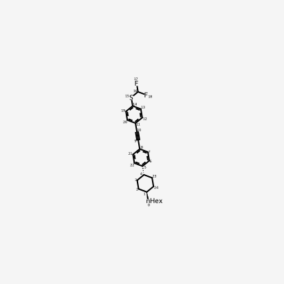 CCCCCC[C@H]1CC[C@H](c2ccc(C#Cc3ccc(SC(F)F)cc3)cc2)CC1